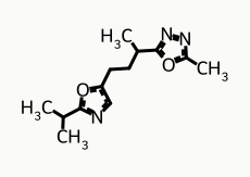 Cc1nnc(C(C)CCc2cnc(C(C)C)o2)o1